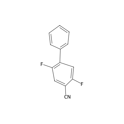 N#Cc1cc(F)c(-c2ccccc2)cc1F